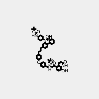 CC(C)(C)OC(=O)N[C@H]1CC[C@H](N(C(=O)O)c2cc(CCCc3ccc(Oc4ccc(CNCC(O[Si](C)(C)C(C)(C)C)c5ccc(O)c6[nH]c(=O)ccc56)cc4)cc3)ccc2-c2ccccc2)CC1